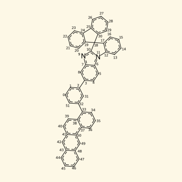 c1cc(-c2ccc3c(c2)nc2n3-c3ccccc3C23c2ccccc2-c2ccccc23)cc(-c2cccc3c2ccc2cc4ccccc4cc23)c1